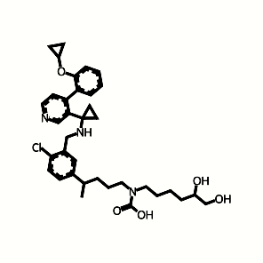 CC(CCCN(CCCCC(O)CO)C(=O)O)c1ccc(Cl)c(CNC2(c3cnccc3-c3ccccc3OC3CC3)CC2)c1